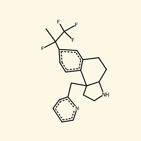 CC(F)(c1ccc2c(c1)CCC1NCCC21Cc1ccccn1)C(F)(F)F